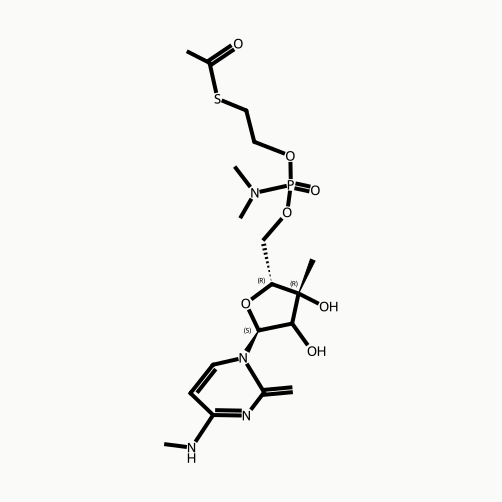 C=C1N=C(NC)C=CN1[C@H]1O[C@H](COP(=O)(OCCSC(C)=O)N(C)C)[C@](C)(O)C1O